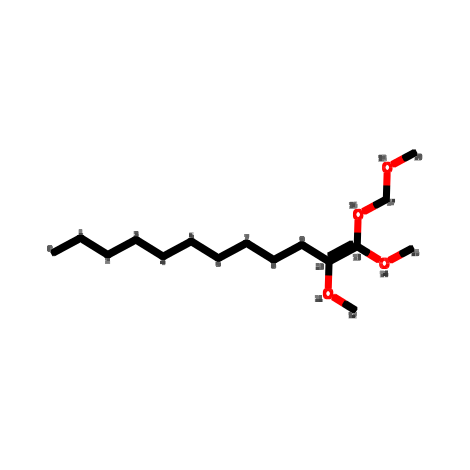 CCCCCCCCCCC(OC)=C(OC)OCOC